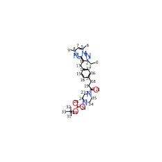 CCc1nn2c(C)cc(C)nc2c1Cc1ccc(CCC(=O)N2CCN(OC(=O)OC(C)(C)C)CC2)cc1